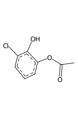 CC(=O)Oc1cccc(Cl)c1O